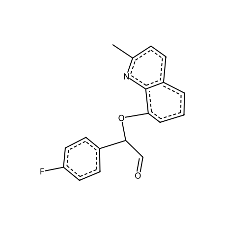 Cc1ccc2cccc(OC(C=O)c3ccc(F)cc3)c2n1